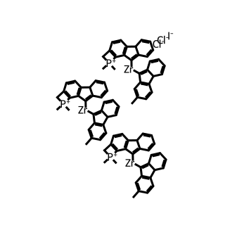 Cc1ccc2c(c1)[C]([Zr][C]1=C3C=CC=CC3c3ccc4c(c31)[P+](C)(C)C4)=C1C=CC=CC12.Cc1ccc2c(c1)[C]([Zr][C]1=C3C=CC=CC3c3ccc4c(c31)[P+](C)(C)C4)=C1C=CC=CC12.Cc1ccc2c(c1)[C]([Zr][C]1=C3C=CC=CC3c3ccc4c(c31)[P+](C)(C)C4)=C1C=CC=CC12.[Cl-].[Cl-].[I-]